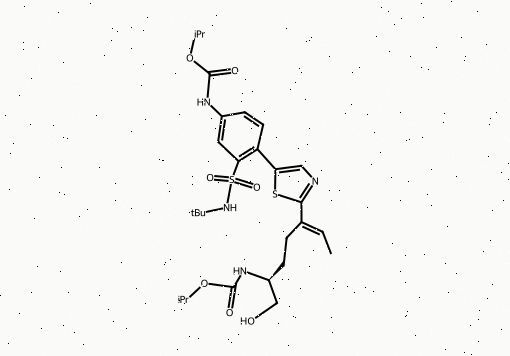 C/C=C(\CC[C@@H](CO)NC(=O)OC(C)C)c1ncc(-c2ccc(NC(=O)OC(C)C)cc2S(=O)(=O)NC(C)(C)C)s1